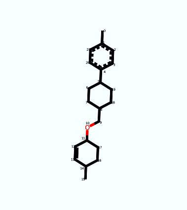 Cc1ccc(C2CCC(COC3C=CC(C)CC3)CC2)cc1